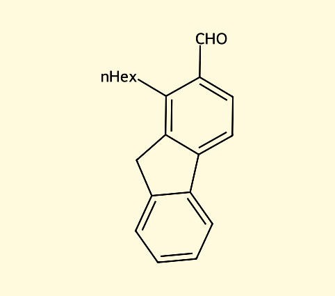 CCCCCCc1c(C=O)ccc2c1Cc1ccccc1-2